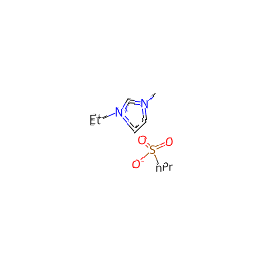 CCCS(=O)(=O)[O-].CC[n+]1ccn(C)c1